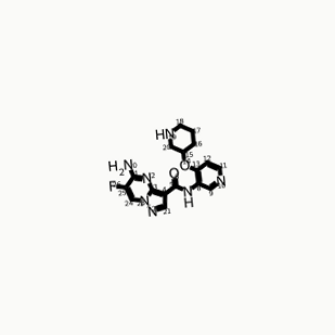 Nc1nc2c(C(=O)Nc3cnccc3OC3CCCNC3)cnn2cc1F